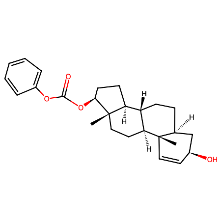 C[C@]12C=C[C@H](O)C[C@@H]1CC[C@@H]1[C@@H]2CC[C@]2(C)[C@@H](OC(=O)Oc3ccccc3)CC[C@@H]12